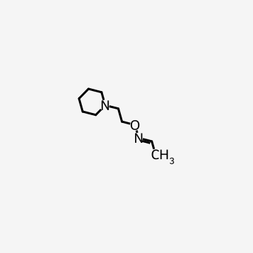 C/C=N/OCCN1CCCCC1